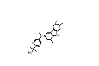 CC1CC2=C(CN1)C1=CN(C(C)c3cnc(C(C)(C)O)nc3)CC(C)N1N2